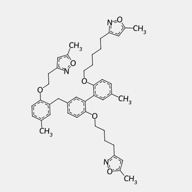 Cc1ccc(OCCc2cc(C)on2)c(Cc2ccc(OCCCCc3cc(C)on3)c(-c3cc(C)ccc3OCCCCCc3cc(C)on3)c2)c1